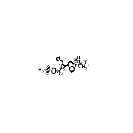 C[C@H](NS(=O)(=O)c1ccc(-c2sc(C(=O)N3CCN(S(N)(=O)=O)CC3)nc2CC2CCC2)c2ccccc12)C(F)(F)F